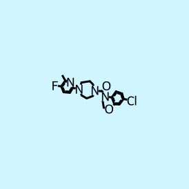 Cc1nc(N2CCCN(C(=O)N3CCOc4cc(Cl)ccc43)CCC2)ccc1F